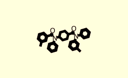 Cc1cccc(C(=O)N(c2ccccc2)C2CCC(C(=O)N(c3ccccc3)c3cccc(C)c3)CC2)c1